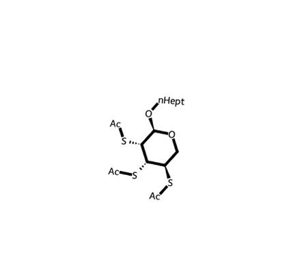 CCCCCCCO[C@H]1OC[C@@H](SC(C)=O)[C@H](SC(C)=O)[C@@H]1SC(C)=O